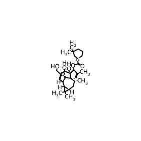 CC1=C[C@]23C(=O)[C@@H](C=C(CO)[C@@H](O)[C@]2(O)[C@H]1OC(=O)N1CCCC(C)(C)C1)[C@@H]1[C@@H](C[C@H]3C)C1(C)C